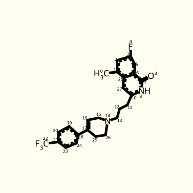 Cc1cc(F)cc2c(=O)[nH]c(CCCN3CC=C(c4ccc(C(F)(F)F)cc4)CC3)cc12